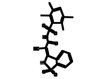 Cc1cc(C)c(C)c(S(=O)(=O)NC(=O)C(C#N)=C2NS(=O)(=O)c3ccccc32)c1C